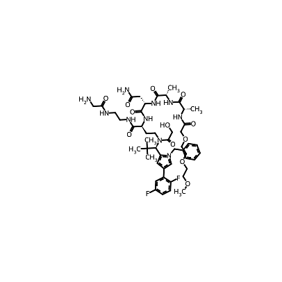 COCCOCCOCC(=O)N[C@@H](C)C(=O)N[C@@H](C)C(=O)N[C@@H](CC(N)=O)C(=O)N[C@@H](CCN(C(=O)CO)[C@@H](c1cc(-c2cc(F)ccc2F)cn1Cc1ccccc1)C(C)(C)C)C(=O)NCCNC(=O)CN